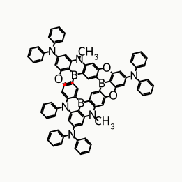 CN1c2cc3c(cc2B2c4ccccc4Oc4cc(N(c5ccccc5)c5ccccc5)cc1c42)B1c2cc4c(cc2Oc2cc(N(c5ccccc5)c5ccccc5)cc(c21)O3)N(C)c1cc(N(c2ccccc2)c2ccccc2)cc2c1B4c1ccccc1N2c1ccccc1